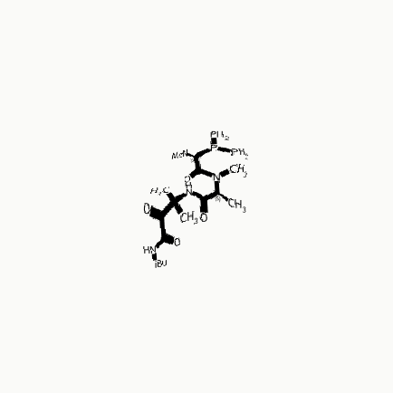 CCC(C)NC(=O)C(=O)C(C)(C)NC(=O)[C@H](C)N(C)C(=O)[C@@H](NC)P(P)P